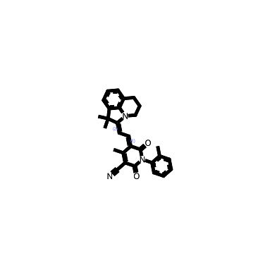 CC1=C(C#N)C(=O)N(c2ccccc2C)C(=O)/C1=C/C=C1\N2CCCc3cccc(c32)C1(C)C